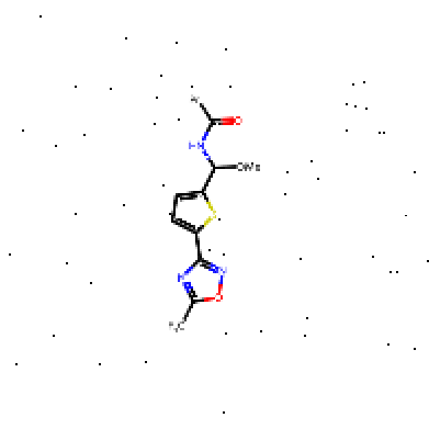 COC(NC(=O)C(C)C)c1ccc(-c2noc(C(F)(F)F)n2)s1